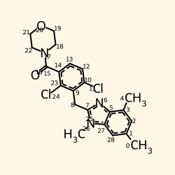 Cc1cc(C)c2nc(Cc3c(Cl)ccc(C(=O)N4CCOCC4)c3Cl)n(C)c2c1